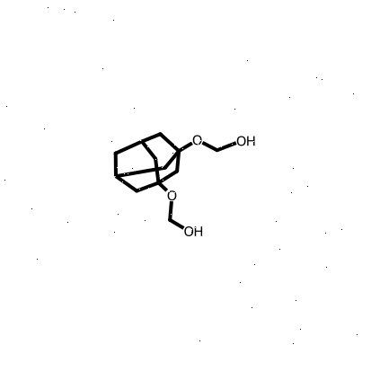 OCOC12CC3CC(C1)CC(OCO)(C3)C2